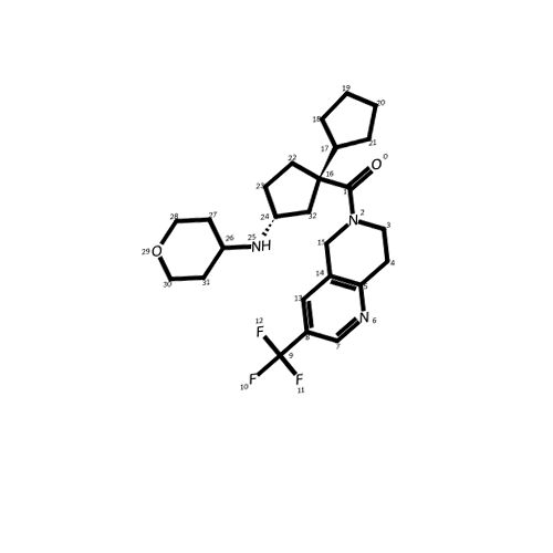 O=C(N1CCc2ncc(C(F)(F)F)cc2C1)[C@@]1(C2CCCC2)CC[C@@H](NC2CCOCC2)C1